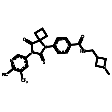 CN1CC(CNC(=O)c2ccc(N3C(=S)N(c4cnc(C#N)c(C(F)(F)F)c4)C(=O)C34CCC4)cc2)C1